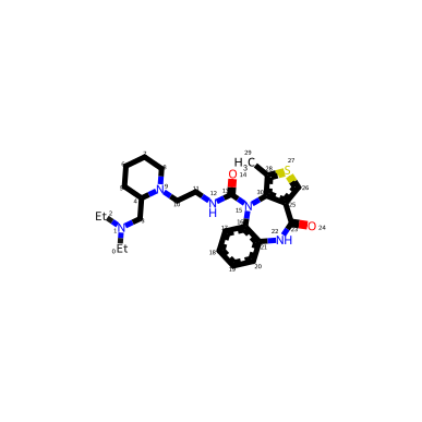 CCN(CC)CC1CCCCN1CCNC(=O)N1c2ccccc2NC(=O)c2csc(C)c21